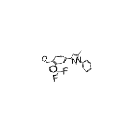 Cc1cc(-c2ccc(C=O)c(OC(F)F)c2)nn1-c1ccccc1